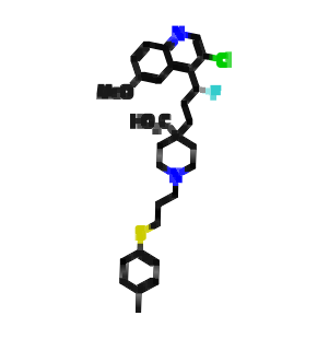 COc1ccc2ncc(Cl)c([C@H](F)CCC3(C(=O)O)CCN(CCCSc4ccc(C)cc4)CC3)c2c1